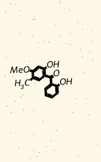 COc1cc(O)c(C(=O)c2ccccc2O)cc1C